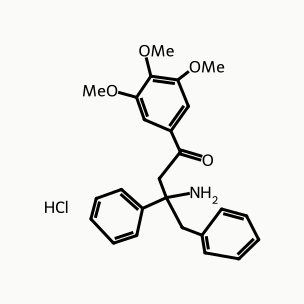 COc1cc(C(=O)CC(N)(Cc2ccccc2)c2ccccc2)cc(OC)c1OC.Cl